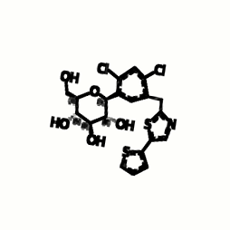 OC[C@H]1O[C@@H](c2cc(Cc3ncc(-c4cccs4)s3)c(Cl)cc2Cl)[C@H](O)[C@@H](O)[C@@H]1O